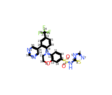 O=S(=O)(Nc1ncns1)c1ccc2c(c1)OCCN2c1ccc(C(F)(F)F)cc1-c1cncnc1